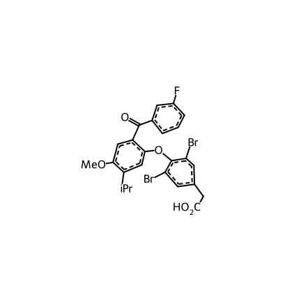 COc1cc(C(=O)c2cccc(F)c2)c(Oc2c(Br)cc(CC(=O)O)cc2Br)cc1C(C)C